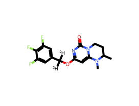 [2H]C([2H])(Oc1cc2n(c(=O)n1)CCC(C)N2C)c1cc(F)c(F)c(F)c1